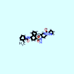 Cc1ccccc1C(=O)Nc1ccc(S(=O)(=O)NC2CCN(C(=O)[C@@H]3CCCN3)CC2C)c2ccccc12